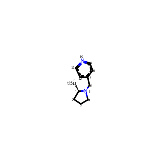 CC(C)(C)[C@@H]1CCCN1Cc1ccncc1